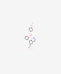 CCOC(=O)C(Oc1cccc(-c2cc(C(C)(C)S(C)(=O)=O)cc3cccnc23)c1)c1ccc(S(C)(=O)=O)cc1